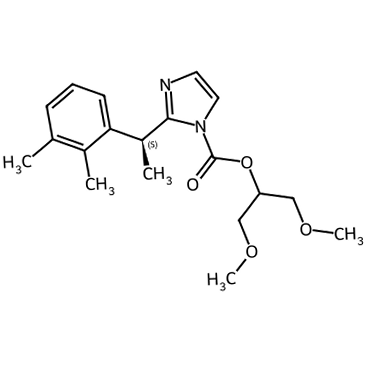 COCC(COC)OC(=O)n1ccnc1[C@@H](C)c1cccc(C)c1C